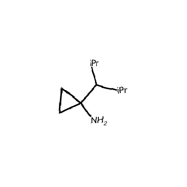 CC(C)C(C(C)C)C1(N)CC1